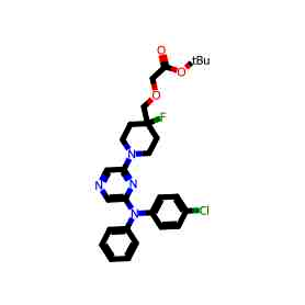 CC(C)(C)OC(=O)COCC1(F)CCN(c2cncc(N(c3ccccc3)c3ccc(Cl)cc3)n2)CC1